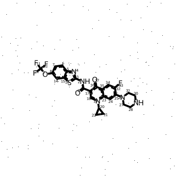 O=C(Nc1nc2ccc(OC(F)(F)F)cc2s1)c1cn(C2CC2)c2cc(N3CCNCC3)c(F)cc2c1=O